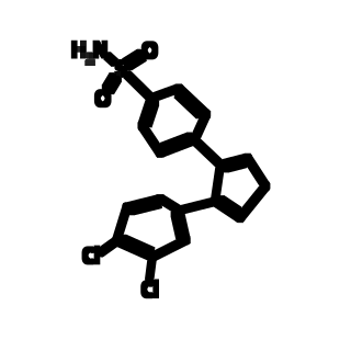 NS(=O)(=O)c1ccc(C2=CCC=C2c2ccc(Cl)c(Cl)c2)cc1